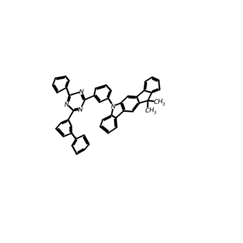 CC1(C)c2ccccc2-c2cc3c(cc21)c1ccccc1n3-c1cccc(-c2nc(-c3ccccc3)nc(-c3cccc(-c4ccccc4)c3)n2)c1